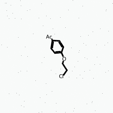 CC(=O)c1ccc(OCCCl)cc1